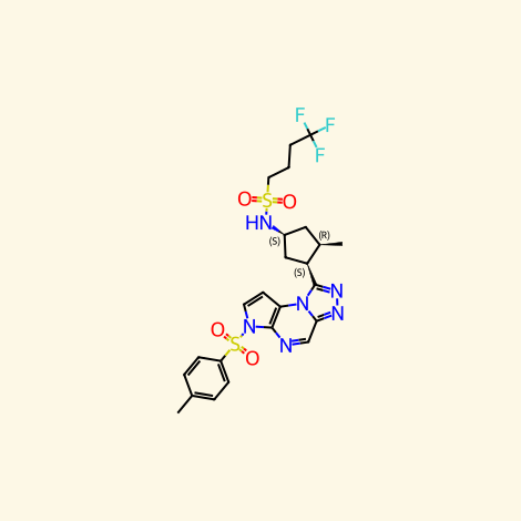 Cc1ccc(S(=O)(=O)n2ccc3c2ncc2nnc([C@H]4C[C@@H](NS(=O)(=O)CCCC(F)(F)F)C[C@H]4C)n23)cc1